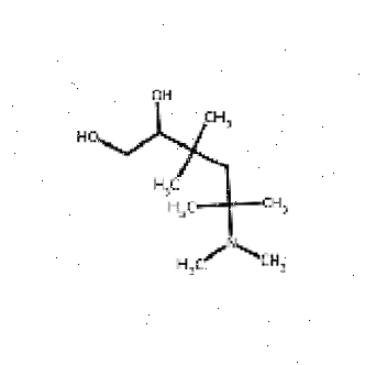 CN(C)C(C)(C)CC(C)(C)C(O)CO